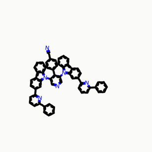 N#Cc1ccc(-c2c(-n3c4ccccc4c4ccc(-c5cccc(-c6ccccc6)n5)cc43)cncc2-n2c3ccccc3c3ccc(-c4cccc(-c5ccccc5)n4)cc32)cc1